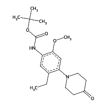 CCc1cc(NC(=O)OC(C)(C)C)c(OC)cc1N1CCC(=O)CC1